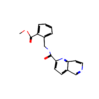 COC(=O)c1ccccc1CNC(=O)c1ccc2cnccc2n1